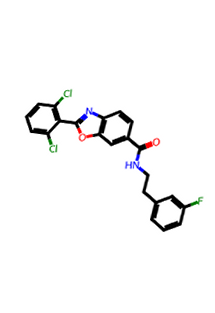 O=C(NCCc1cccc(F)c1)c1ccc2nc(-c3c(Cl)cccc3Cl)oc2c1